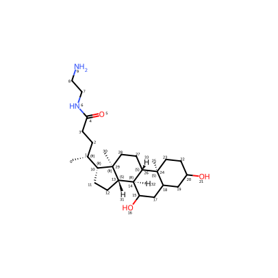 C[C@H](CCC(=O)NCCN)[C@H]1CC[C@H]2[C@@H]3C(O)CC4CC(O)CC[C@]4(C)[C@H]3CC[C@]12C